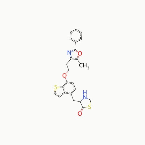 Cc1oc(-c2ccccc2)nc1CCOc1ccc(CC2NCSC2=O)c2ccsc12